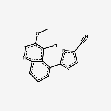 COc1[c]nc2cccc(-c3nc(C#N)cs3)c2c1Cl